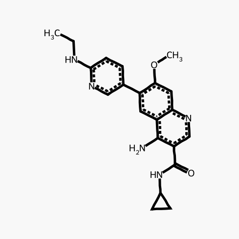 CCNc1ccc(-c2cc3c(N)c(C(=O)NC4CC4)cnc3cc2OC)cn1